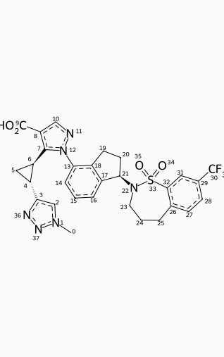 Cn1cc([C@@H]2C[C@H]2c2c(C(=O)O)cnn2-c2cccc3c2CC[C@H]3N2CCCc3ccc(C(F)(F)F)cc3S2(=O)=O)nn1